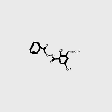 O=C(O)Cc1cc(O)cc(C(=O)NOC(=O)c2ccccc2)c1O